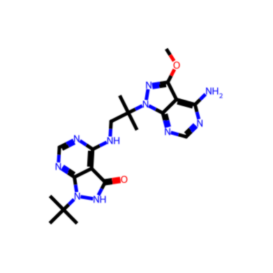 COc1nn(C(C)(C)CNc2ncnc3c2c(=O)[nH]n3C(C)(C)C)c2ncnc(N)c12